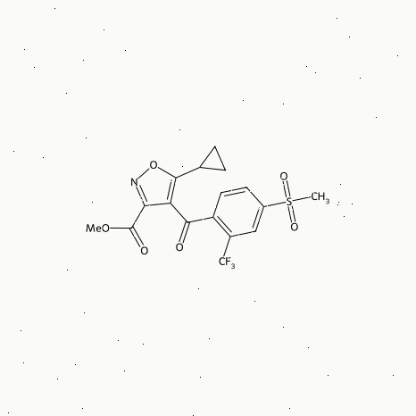 COC(=O)c1noc(C2CC2)c1C(=O)c1ccc(S(C)(=O)=O)cc1C(F)(F)F